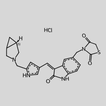 Cl.O=C1Nc2ccc(CN3C(=O)CSC3=O)cc2C1=Cc1c[nH]c(CN2CC3C[C@@H]3C2)c1